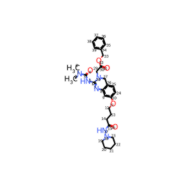 CN(C)C(=O)NC1=Nc2cc(OCCCC(=O)NN3CCCCC3)ccc2CN1CC(=O)OCc1ccccc1